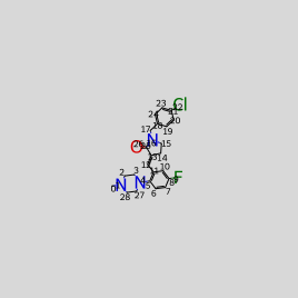 CN1CCN(c2ccc(F)cc2/C=C2\CCN(Cc3ccc(Cl)cc3)C2=O)CC1